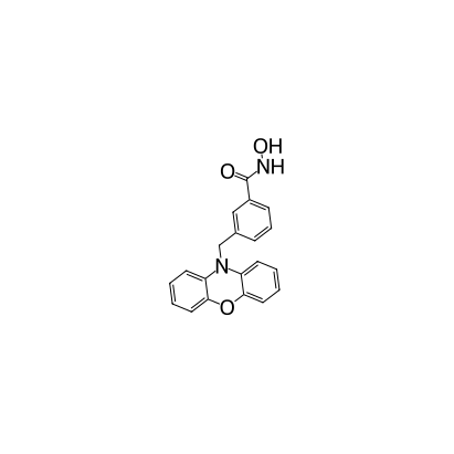 O=C(NO)c1cccc(CN2c3ccccc3Oc3ccccc32)c1